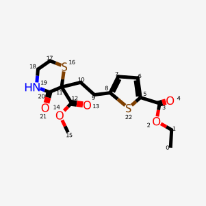 CCOC(=O)c1ccc(CCC2(C(=O)OC)SCCNC2=O)s1